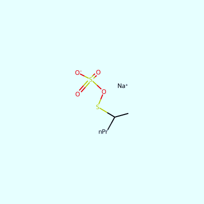 CCCC(C)SOS(=O)(=O)[O-].[Na+]